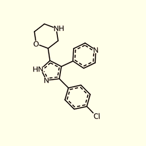 Clc1ccc(-c2n[nH]c(C3CNCCO3)c2-c2ccncc2)cc1